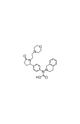 O=C1CCC(c2ccc(N(C(=O)O)N3CCc4ccccc4C3)cc2)N1CCN1CCOCC1